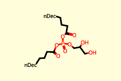 CCCCCCCCCCCCCC(=O)OP(=O)(OCC(O)CO)OC(=O)CCCCCCCCCCCCC